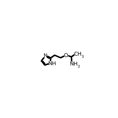 CC(N)OCCc1ncc[nH]1